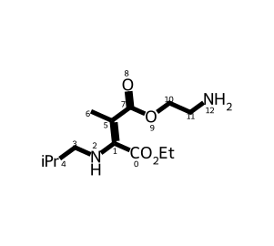 CCOC(=O)C(NCC(C)C)=C(C)C(=O)OCCN